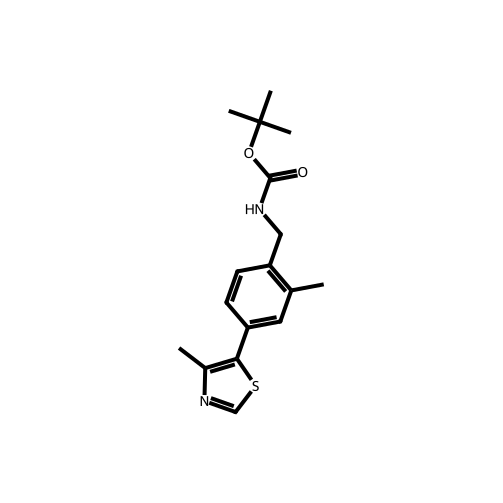 Cc1cc(-c2scnc2C)ccc1CNC(=O)OC(C)(C)C